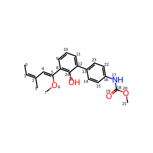 C/C=C(C)\C=C(/OC)c1cccc(-c2ccc(NC(=O)OC)cc2)c1O